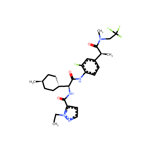 CCn1nccc1C(=O)N[C@H](C(=O)Nc1ccc([C@H](C)C(=O)N(C)CC(F)(F)F)cc1F)[C@H]1CC[C@H](C)CC1